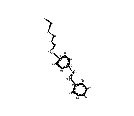 CCCCCCOc1ccc(N=Nc2ccccc2)cc1